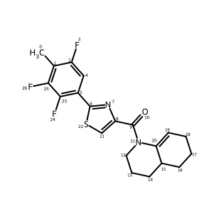 Cc1c(F)cc(-c2nc(C(=O)N3CCCC4CCCC=C43)cs2)c(F)c1F